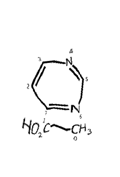 CC(=O)O.c1cncnc1